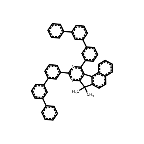 CC1(C)c2ccc3ccccc3c2-c2c(-c3cccc(-c4cccc(-c5ccccc5)c4)c3)nc(-c3cccc(-c4cccc(-c5ccccc5)c4)c3)nc21